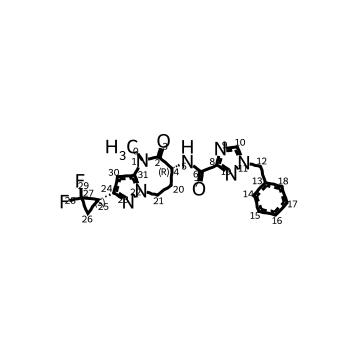 CN1C(=O)[C@H](NC(=O)c2ncn(Cc3ccccc3)n2)CCn2nc([C@@H]3CC3(F)F)cc21